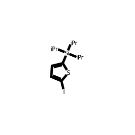 CC(C)[Si](c1ccc(I)s1)(C(C)C)C(C)C